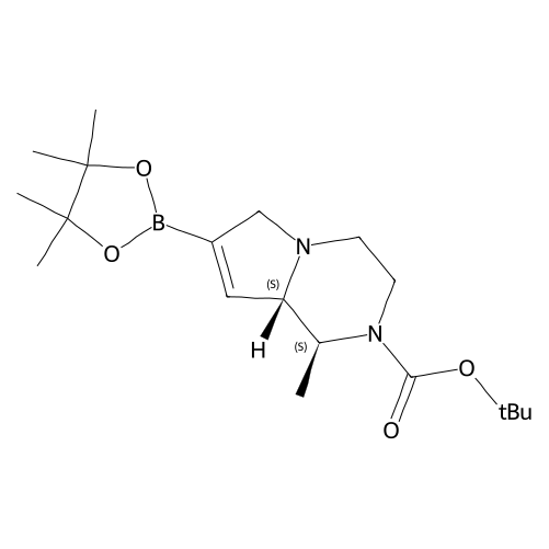 C[C@H]1[C@@H]2C=C(B3OC(C)(C)C(C)(C)O3)CN2CCN1C(=O)OC(C)(C)C